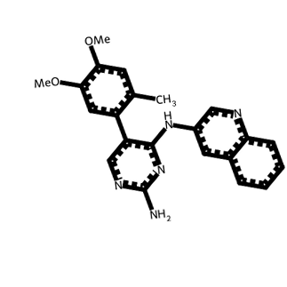 COc1cc(C)c(-c2cnc(N)nc2Nc2cnc3ccccc3c2)cc1OC